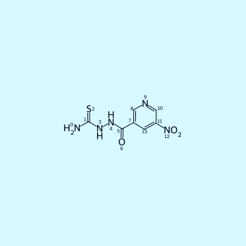 NC(=S)NNC(=O)c1cncc([N+](=O)[O-])c1